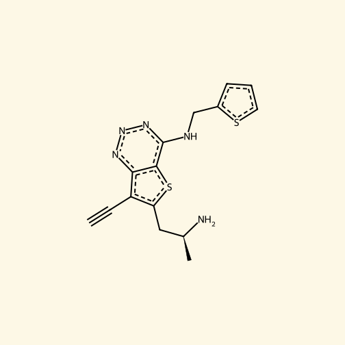 C#Cc1c(C[C@H](C)N)sc2c(NCc3cccs3)nnnc12